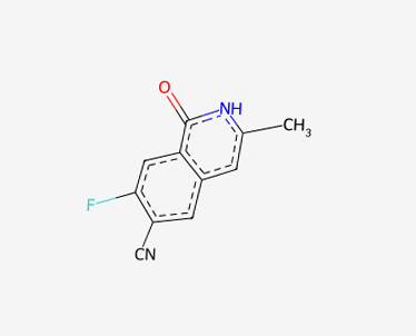 Cc1cc2cc(C#N)c(F)cc2c(=O)[nH]1